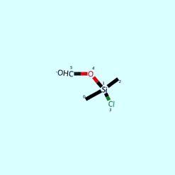 C[Si](C)(Cl)O[C]=O